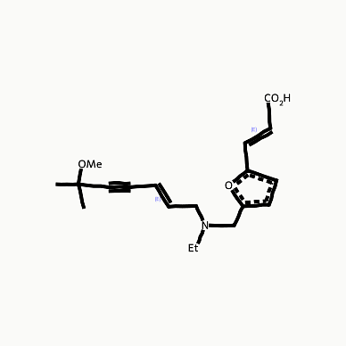 CCN(C/C=C/C#CC(C)(C)OC)Cc1ccc(/C=C/C(=O)O)o1